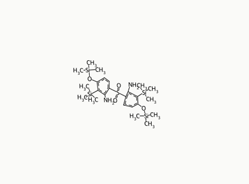 C[Si](C)(C)Oc1ccc(S(=O)(=O)c2ccc(O[Si](C)(C)C)c([Si](C)(C)C)c2N)c(N)c1[Si](C)(C)C